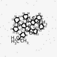 CC(C)(C)c1ccc(N2c3cc(N(c4ccccc4)c4ccccc4)cc4c3B(c3cc5c(cc3N4c3ccccc3)C3(C)CCCCC3(C)N5c3ccccc3)c3c2oc2ccccc32)cc1